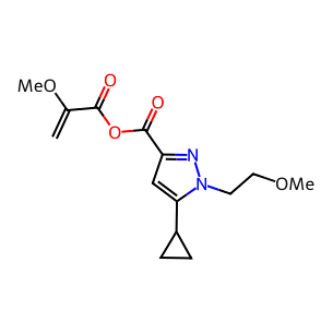 C=C(OC)C(=O)OC(=O)c1cc(C2CC2)n(CCOC)n1